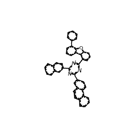 c1ccc(-c2cccc3c2oc2cccc(-c4nc(-c5ccc6ccccc6c5)nc(-c5ccc6c(ccc7ccccc76)c5)n4)c23)cc1